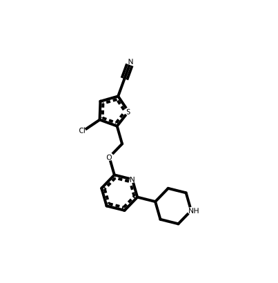 N#Cc1cc(Cl)c(COc2cccc(C3CCNCC3)n2)s1